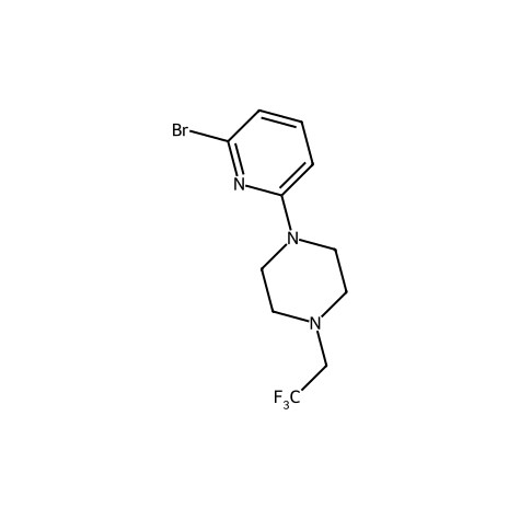 FC(F)(F)CN1CCN(c2cccc(Br)n2)CC1